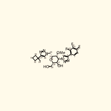 CO[C@@H]1[C@@H](n2cc(-c3ccc(F)c(F)c3F)nn2)[C@@H](O)[C@@H](CO)O[C@@H]1Cn1cc(C2(C)CCC2)nn1